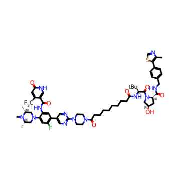 Cc1ncsc1-c1ccc(CNC(=O)[C@@H]2C[C@@H](O)CN2C(=O)[C@@H](NC(=O)CCCCCCCCC(=O)N2CCN(c3ncc(-c4cc(NC(=O)c5c[nH]c(=O)cc5C(F)(F)F)c(N5C[C@@H](C)N(C)[C@@H](C)C5)cc4F)cn3)CC2)C(C)(C)C)cc1